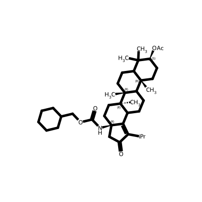 CC(=O)O[C@H]1CC[C@@]2(C)C(CC[C@]3(C)C2CCC2C4=C(C(C)C)C(=O)C[C@]4(NC(=O)OCC4CCCCC4)CC[C@]23C)C1(C)C